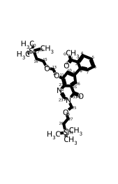 CC(=O)c1ccccc1-c1cc(OCOCC[Si](C)(C)C)c2ncn(COCC[Si](C)(C)C)c(=O)c2c1